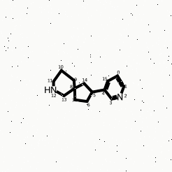 c1cncc(C2CCC3(CCCNC3)C2)c1